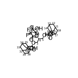 O=C(OCC(COC(=O)C12CC3CC(C1)C(O)C(C3)C2)OC(=O)C(F)(F)S(=O)(=O)O)C12CC3CC(C1)C(O)C(C3)C2